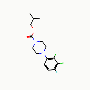 CC(C)COC(=O)N1CCN(c2ccc(F)c(Cl)c2Cl)CC1